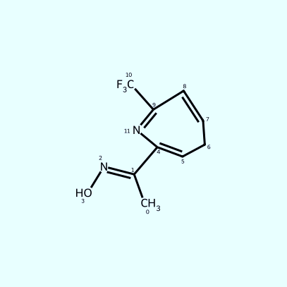 C/C(=N\O)C1=CCC=CC(C(F)(F)F)=N1